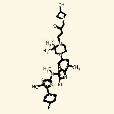 CCc1nc2c(C)cc(N3CCN(CCC(=O)CN4CC(O)C4)C(C)(C)C3)cn2c1N(C)c1nc(-c2ccc(F)cc2)c(C#N)s1